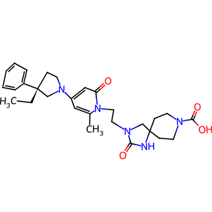 CC[C@@]1(c2ccccc2)CCN(c2cc(C)n(CCN3CC4(CCN(C(=O)O)CC4)NC3=O)c(=O)c2)C1